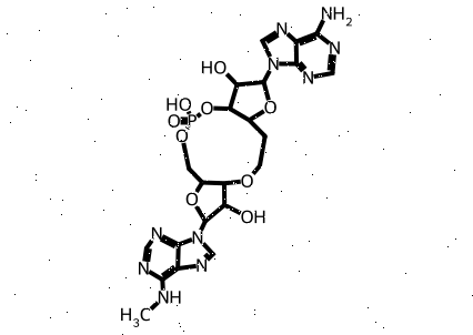 CNc1ncnc2c1ncn2C1OC2COP(=O)(O)OC3C(CCOC2C1O)OC(n1cnc2c(N)ncnc21)C3O